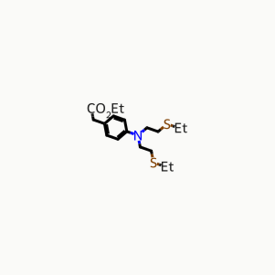 CCOC(=O)Cc1ccc(N(CCSCC)CCSCC)cc1